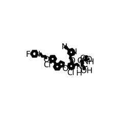 C[C@@H](O)[C@H](NCc1cc(Cl)c(O[C@H]2CCc3c(-c4cccc(OCCCN5CCC(F)CC5)c4Cl)cccc32)cc1OCc1cncc(C#N)c1)C(=O)NS(C)(=O)=O